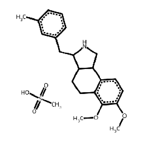 COc1ccc2c(c1OC)CCC1C(Cc3cccc(C)c3)NCC21.CS(=O)(=O)O